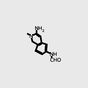 CN1Cc2ccc(NC=O)cc2C=C1N